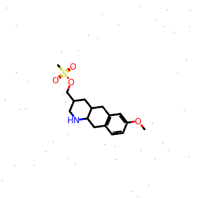 COc1ccc2c(c1)CC1CC(COS(C)(=O)=O)CNC1C2